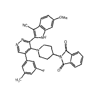 COc1ccc2c(C#N)c(-c3nncc(-c4cc(C)cc(F)c4)c3N3CCC(N4C(=O)c5ccccc5C4=O)CC3)[nH]c2c1